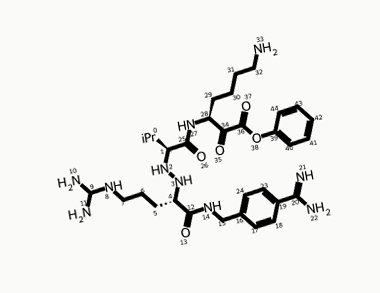 CC(C)[C@H](NN[C@@H](CCCNC(N)N)C(=O)NCc1ccc(C(=N)N)cc1)C(=O)N[C@@H](CCCCN)C(=O)C(=O)Oc1ccccc1